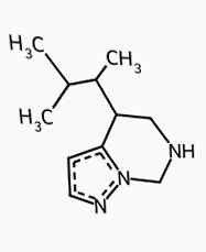 CC(C)C(C)C1CNCn2nccc21